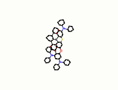 c1ccc(-c2cccc(-c3ccccc3)c2B2c3ccc(N(c4ccccc4)c4ccccc4)cc3Sc3cc4c(cc32)B2c3ccccc3N(c3ccccc3)c3cc(N(c5ccccc5)c5ccccc5)cc(c32)O4)cc1